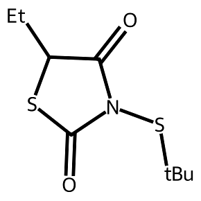 CCC1SC(=O)N(SC(C)(C)C)C1=O